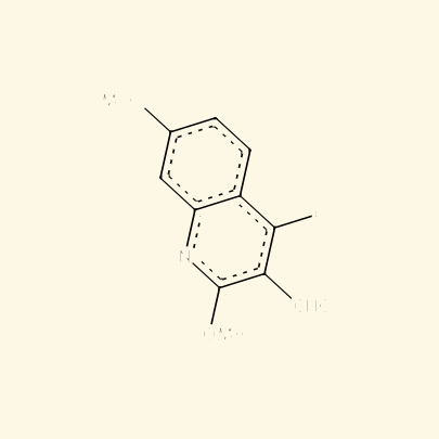 COc1ccc2c(Cl)c(C=O)c(OC)nc2c1